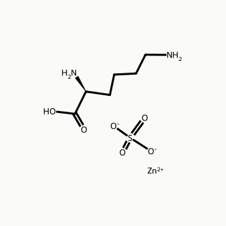 NCCCC[C@H](N)C(=O)O.O=S(=O)([O-])[O-].[Zn+2]